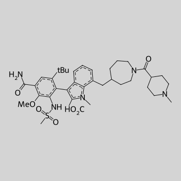 COc1c(C(N)=O)cc(C(C)(C)C)c(-c2c(C(=O)O)n(C)c3c(CC4CCCN(C(=O)C5CCN(C)CC5)CC4)cccc23)c1NS(C)(=O)=O